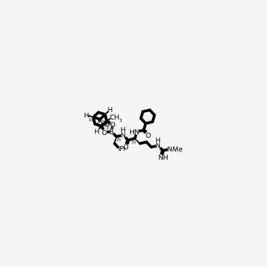 CNC(=N)NCCC[C@H](NC(=O)C1CCCCC1)C(=O)N[C@@H](CC(C)C)B1O[C@@H]2C[C@@H]3C[C@@H](C3(C)C)[C@]2(C)O1